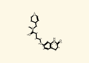 CN(CC1C=COCC1)C(=O)CCCOc1ccc2c(c1)NC(=O)CC2